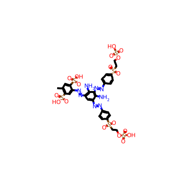 Cc1cc(S(=O)(=O)O)c(/N=N/c2cc(/N=N/c3ccc(S(=O)(=O)CCOS(=O)(=O)O)cc3)c(N)c(/N=N/c3ccc(S(=O)(=O)CCOS(=O)(=O)O)cc3)c2N)cc1S(=O)(=O)O